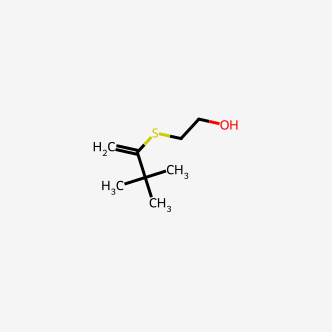 C=C(SCCO)C(C)(C)C